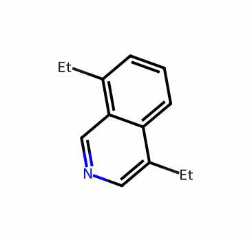 CCc1cncc2c(CC)cccc12